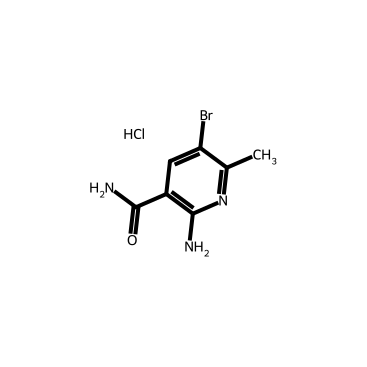 Cc1nc(N)c(C(N)=O)cc1Br.Cl